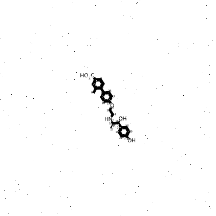 Cc1cc(C(=O)O)ccc1-c1ccc(OCCN[C@H](C)[C@@H](O)c2ccc(O)cc2)cc1